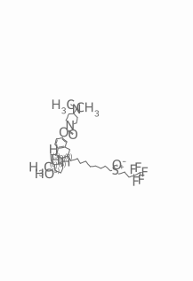 CN(C)C1CCN(C(=O)Oc2ccc3c(c2)C[C@@H](CCCCCCCCC[S+]([O-])CCCC(F)(F)C(F)(F)F)[C@@H]2[C@@H]3CC[C@]3(C)[C@@H](O)CC[C@@H]23)CC1